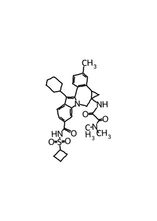 Cc1ccc2c(c1)C1CC1(NC(=O)C(=O)N(C)C)Cn1c-2c(C2CCCCC2)c2ccc(C(=O)NS(=O)(=O)C3CCC3)cc21